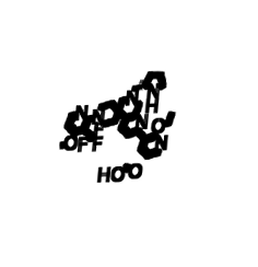 CCOc1ncccc1-c1ccc2c(n1)CN(C[C@H]1CCCN1)CC21CCN(c2nccc(OC)c2C(F)(F)F)CC1.O=CO